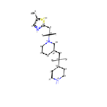 CC(C)(C)c1cnc(CC(C)(C)N2CCCC(CC(C)(C)C3CCNCC3)C2)s1